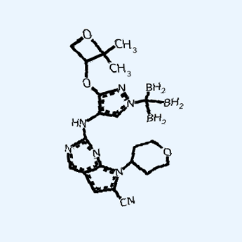 BC(B)(B)n1cc(Nc2ncc3cc(C#N)n(C4CCOCC4)c3n2)c(OC2COC2(C)C)n1